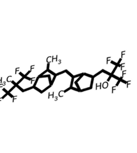 CC1C2CC(CC2CC(C)(C(F)(F)F)C(F)(F)F)C1CC1C(C)C2CC(CC(O)(C(F)(F)F)C(F)(F)F)C1C2